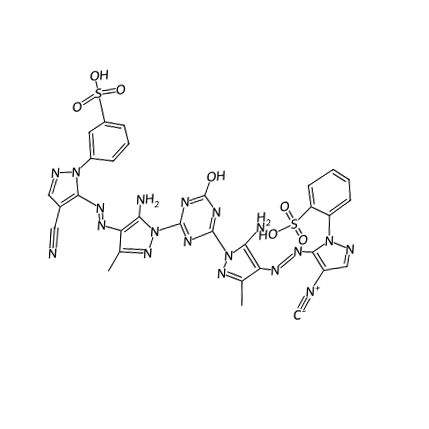 [C-]#[N+]c1cnn(-c2ccccc2S(=O)(=O)O)c1N=Nc1c(C)nn(-c2nc(O)nc(-n3nc(C)c(N=Nc4c(C#N)cnn4-c4cccc(S(=O)(=O)O)c4)c3N)n2)c1N